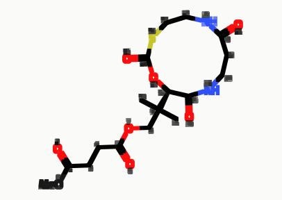 COC(=O)CCC(=O)OCC(C)(C)[C@H]1OC(=O)SCCNC(=O)CCNC1=O